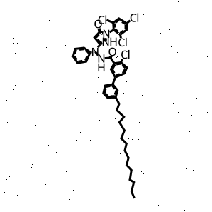 CCCCCCCCCCCCCCCc1cccc(-c2ccc(Cl)c(C(=O)NN(c3ccccc3)c3cc(=O)n(-c4c(Cl)cc(Cl)cc4Cl)[nH]3)c2)c1